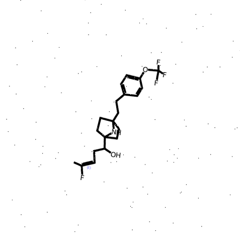 C/C(F)=C\CC(O)C12CCC(CCc3ccc(OC(F)(F)F)cc3)(CC1)N2